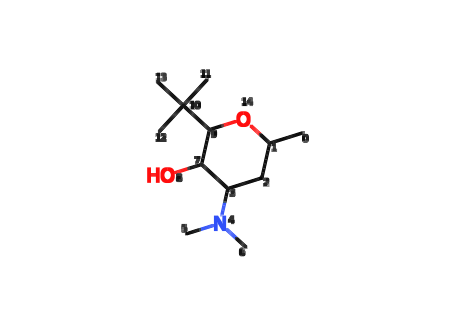 CC1CC(N(C)C)C(O)C(C(C)(C)C)O1